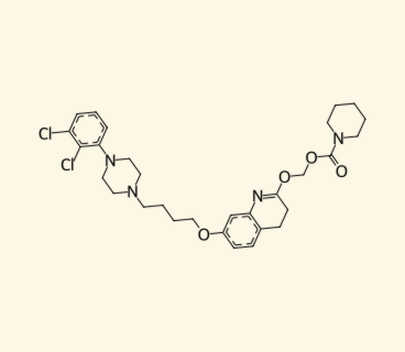 O=C(OCOC1=Nc2cc(OCCCCN3CCN(c4cccc(Cl)c4Cl)CC3)ccc2CC1)N1CCCCC1